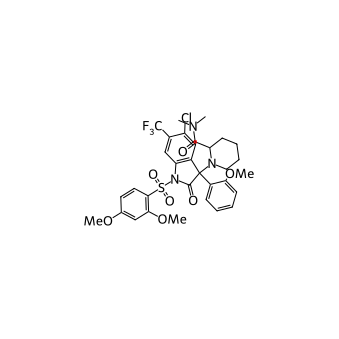 COc1ccc(S(=O)(=O)N2C(=O)C(c3ccccc3OC)(N3CCCCC3C(=O)N(C)C)c3cc(Cl)c(C(F)(F)F)cc32)c(OC)c1